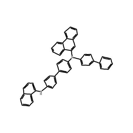 c1ccc(-c2ccc(N(c3ccc(-c4ccc(Nc5cccc6ccccc56)cc4)cc3)c3cc4ccccc4c4ccccc34)cc2)cc1